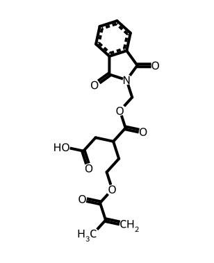 C=C(C)C(=O)OCCC(CC(=O)O)C(=O)OCN1C(=O)c2ccccc2C1=O